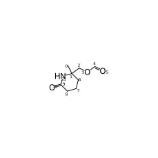 CC1(COC=O)CCCC(=O)N1